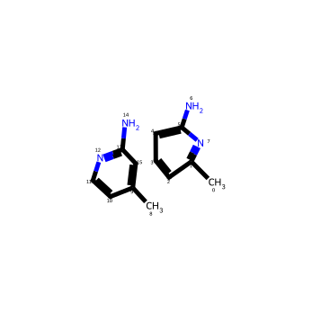 Cc1cccc(N)n1.Cc1ccnc(N)c1